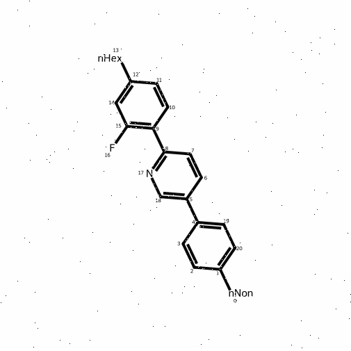 CCCCCCCCCc1ccc(-c2ccc(-c3ccc(CCCCCC)cc3F)nc2)cc1